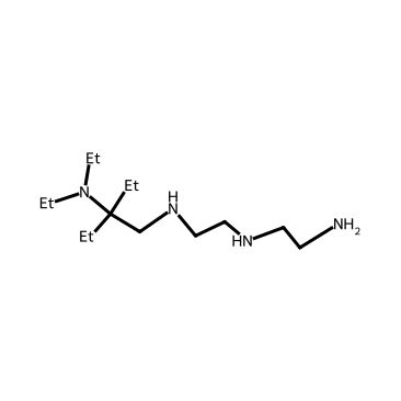 CCN(CC)C(CC)(CC)CNCCNCCN